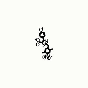 COC(=O)c1sc(Cc2cc(C)c([N+](=O)[O-])cc2C)nc1-c1ccc(Cl)cc1